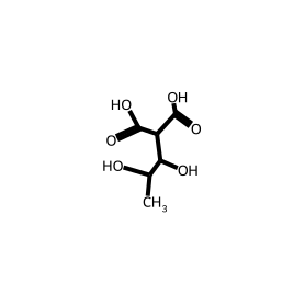 CC(O)C(O)C(C(=O)O)C(=O)O